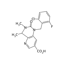 CC1c2ncc(C(=O)O)cc2N(Cc2c(F)cccc2Cl)C(=O)N1C